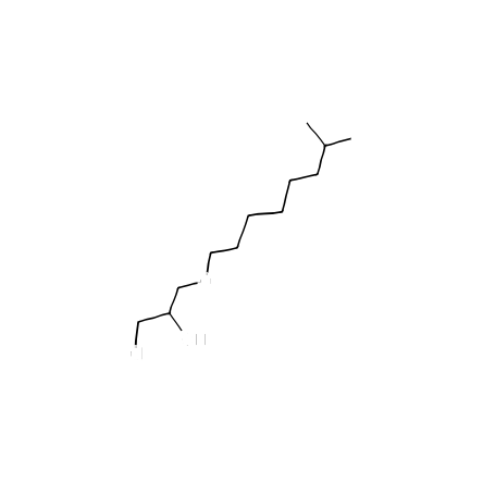 CC(C)CCCCCCOCC(O)CCl